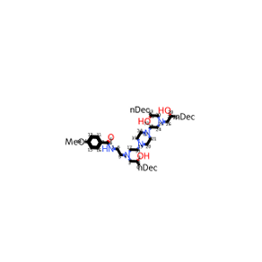 CCCCCCCCCCC(O)CN(CCNC(=O)c1ccc(OC)cc1)CCN1CCN(CCN(CC(O)CCCCCCCCCC)CC(O)CCCCCCCCCC)CC1